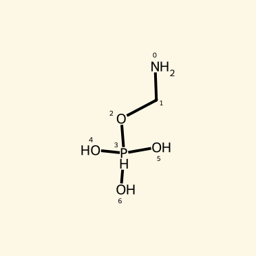 NCO[PH](O)(O)O